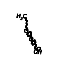 CCCCCCCCOC1CCC(COc2ccc(/C=C/C(=O)O)cc2)CC1